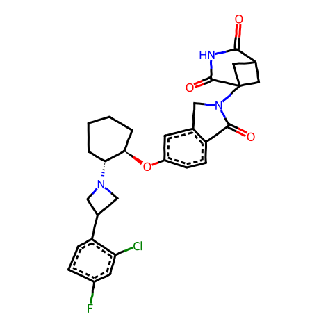 O=C1NC(=O)C2(N3Cc4cc(O[C@@H]5CCCC[C@H]5N5CC(c6ccc(F)cc6Cl)C5)ccc4C3=O)CC1C2